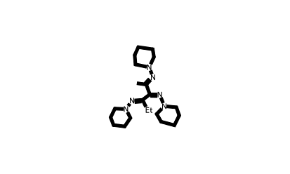 CCC(=N\N1CCCCC1)/C(=N\N1CCCCC1)C(/C)=N/N1CCCCC1